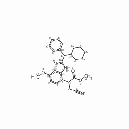 COC(=O)C(CC#N)c1ccc(OC)c2nc(C(c3ccccc3)C3CCCCC3)[nH]c12